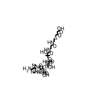 CC(C)(COP(=O)(O)OP(=O)(O)OC[C@H]1O[C@@H](n2cnc3c(N)ncnc32)[C@H](O)[C@@H]1OP(=O)(O)O)C(O)C(=O)NCCC(=O)NCCSCC(=O)CC(=O)O